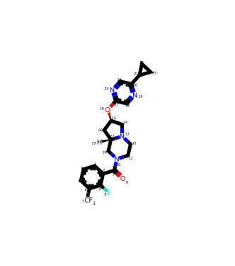 O=C(c1cccc(C(F)(F)F)c1F)N1CCN2C[C@H](Oc3cnc(C4CC4)cn3)C[C@H]2C1